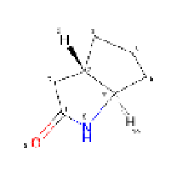 O=C1C[C@@H]2CCC[C@H]2N1